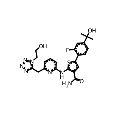 CC(C)(O)c1ccc(-c2cc(C(N)=O)c(Nc3cccc(Cc4nnnn4CCO)n3)s2)c(F)c1